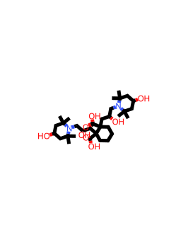 CC1(C)CC(O)CC(C)(C)N1CC(O)CC1(C(=O)O)CCCCC1(CC(O)CN1C(C)(C)CC(O)CC1(C)C)C(=O)O